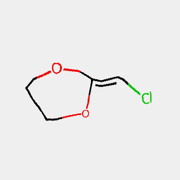 ClC=C1OCCO1